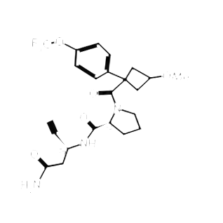 C#C[C@H](CC(N)=O)NC(=O)[C@@H]1CCCN1C(=O)C1(c2ccc(OC(F)(F)F)cc2)CC(OC)C1